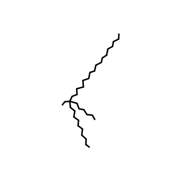 CCCCCCCCCCCCCCCCCC(CC)(CCCCCC)CCCCCCCCCC